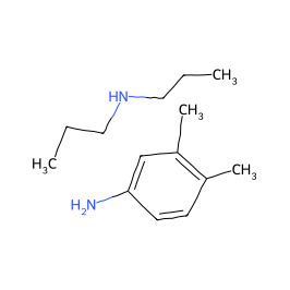 CCCNCCC.Cc1ccc(N)cc1C